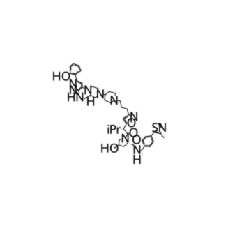 Cc1ncsc1-c1ccc([C@H](C)NC(=O)[C@@H]2C[C@@H](O)CN2C(=O)[C@@H](c2cc(CCCN3CCC(N4CCN5c6cc(-c7ccccc7O)nnc6NC[C@H]5C4)CC3)no2)C(C)C)cc1